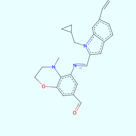 C=Cc1ccc2cc(/C=N/c3cc(C=O)cc4c3N(C)CCO4)n(CC3CC3)c2c1